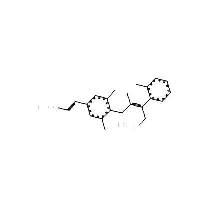 C/C(=C(/CC(C)C)c1ccccc1C)[C@H](N)c1c(C)cc(/C=C/C(=O)O)cc1C